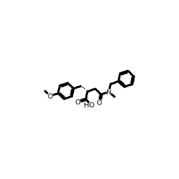 COc1ccc(C[C@H](CC(=O)N(C)Cc2ccccc2)C(=O)O)cc1